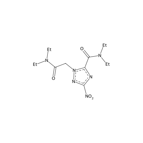 CCN(CC)C(=O)Cn1nc([N+](=O)[O-])nc1C(=O)N(CC)CC